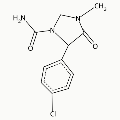 CN1CN(C(N)=O)C(c2ccc(Cl)cc2)C1=O